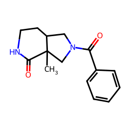 CC12CN(C(=O)c3ccccc3)CC1CCNC2=O